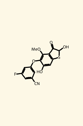 COc1c(Oc2cc(F)cc(C#N)c2)c(O)cc2c1C(=O)C(O)S2